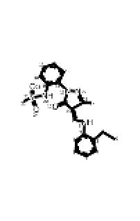 CCc1ccccc1NC=C1C(=O)N(c2ccccc2NS(C)(=O)=O)N=C1C